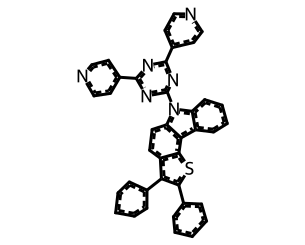 c1ccc(-c2sc3c(ccc4c3c3ccccc3n4-c3nc(-c4ccncc4)nc(-c4ccncc4)n3)c2-c2ccccc2)cc1